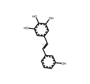 Oc1cccc(/C=C/c2cc(O)c(O)c(O)c2)c1